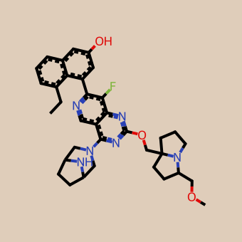 CCc1cccc2cc(O)cc(-c3ncc4c(N5CC6CCC(C5)N6)nc(OCC56CCCN5C(COC)CC6)nc4c3F)c12